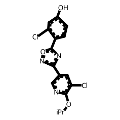 CC(C)Oc1ncc(-c2noc(-c3ccc(O)cc3Cl)n2)cc1Cl